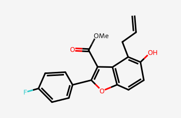 C=CCc1c(O)ccc2oc(-c3ccc(F)cc3)c(C(=O)OC)c12